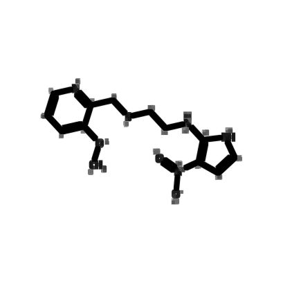 COc1cccnc1CSCCNc1[nH]ccc1[N+](=O)[O-]